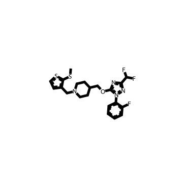 CSc1sccc1CN1CCC(COc2nc(C(F)F)nn2-c2ccccc2F)CC1